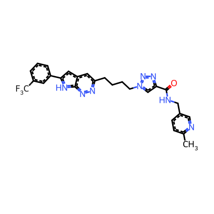 Cc1ccc(CNC(=O)c2cn(CCCCc3cc4cc(-c5cccc(C(F)(F)F)c5)[nH]c4nn3)nn2)cn1